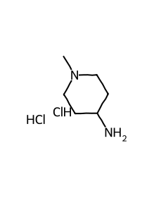 CN1CCC(N)CC1.Cl.Cl